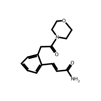 NC(=O)C=Cc1ccccc1CC(=O)N1CCOCC1